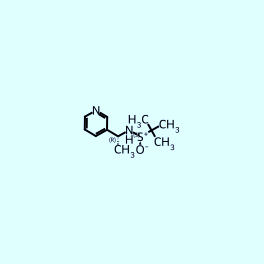 C[C@@H](N[S@+]([O-])C(C)(C)C)c1cccnc1